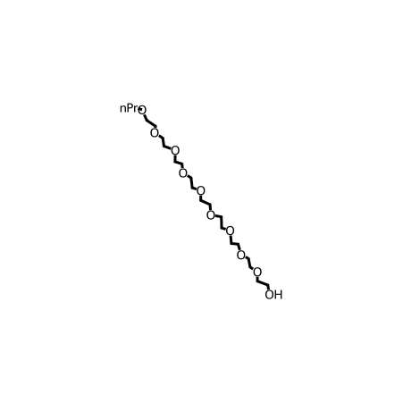 CCCOCCOCCOCCOCCOCCOCCOCCOCCOCCO